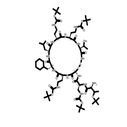 CC(C)C[C@@H]1NC(=O)[C@@H](CC2CCCCC2)NC(=O)[C@H](CCNC(=O)OC(C)(C)C)NC(=O)[C@@H](NC(=O)[C@H](CNC(=O)OC(C)(C)C)NC(=O)[C@@H](N)C(C)OC(C)(C)C)CCNC(=O)[C@H](C(C)O)NC(=O)[C@H](CCNC(=O)OC(C)(C)C)NC(=O)[C@H](CCNC(=O)OC(C)(C)C)NC1=O